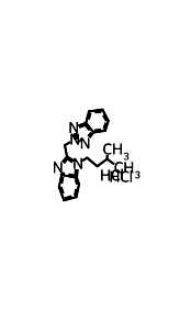 CC(C)CCn1c(Cn2nc3ccccc3n2)nc2ccccc21.Cl.Cl